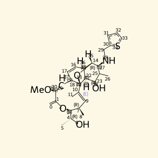 C=C1O[C@H]([C@@H](C)O)[C@H](C)/C=C(\C)[C@]23O[C@@H]4[C@H](C=C[C@@H]2C[C@@H]1OC)[C@H]3[C@H](O)C(C)[C@@H]4NCc1cccs1